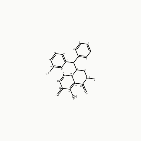 CN1CC(C(c2ccccc2)c2cccc(F)c2)n2ncc(=O)c(O)c2C1=O